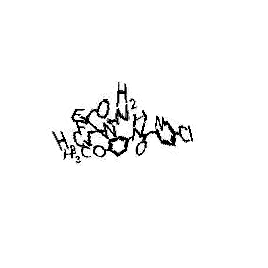 CC1(C)C[C@@]2(N=C(N)OCC2(F)F)c2cc(NC(=O)c3ccc(Cl)cn3)ccc2O1